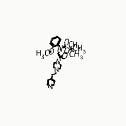 COc1ccccc1N(CC(=O)N1CCN(CCc2ccncc2)CC1)C(=O)OC(C)(C)C